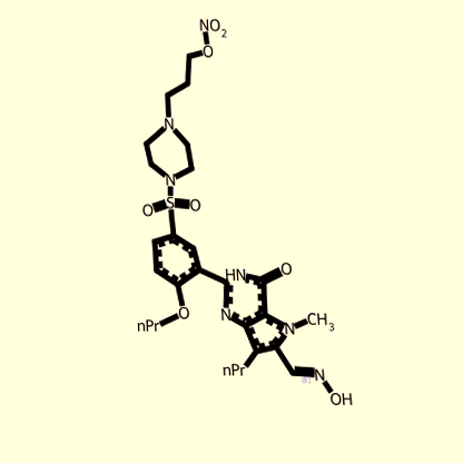 CCCOc1ccc(S(=O)(=O)N2CCN(CCCO[N+](=O)[O-])CC2)cc1-c1nc2c(CCC)c(/C=N/O)n(C)c2c(=O)[nH]1